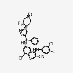 CCN1CC[C@@H](n2cc([C@@H](Nc3cc(Cl)c4ncc(C#N)c(Nc5ccc(F)c(Cl)c5)c4c3)c3ccccc3)nn2)[C@H](F)C1